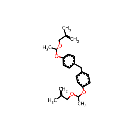 C=C(C)COC(C)Oc1ccc(Cc2ccc(OC(C)OCC(=C)C)cc2)cc1